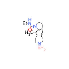 BN1CCc2cc3c(c(C)c2CC1)N(C(=O)NCC)CCC3